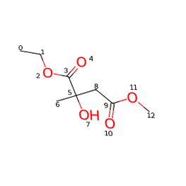 CCOC(=O)C(C)(O)CC(=O)OC